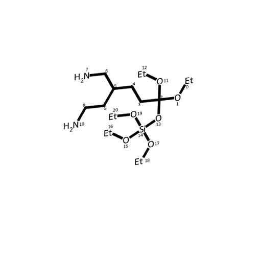 CCOC(CCC(CN)CCN)(OCC)O[Si](OCC)(OCC)OCC